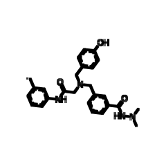 [CH2]c1cccc(NC(=O)CN(Cc2ccc(O)cc2)Cc2cccc(C(=O)NN(C)C)c2)c1